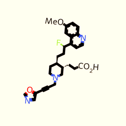 COc1ccc2nccc([C@H](F)CC[C@@H]3CCN(CC#Cc4cnco4)C[C@H]3CCC(=O)O)c2c1